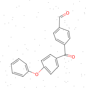 O=[C]c1ccc(C(=O)c2ccc(Oc3ccccc3)cc2)cc1